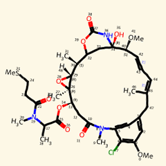 COc1cc2cc(c1Cl)N(C)C(=O)C[C@@H](OC(=O)C(C)N(C)C(=O)CCSC)[C@@]1(C)O[C@@H]1[C@@H](C)C1C[C@](O)(NC(=O)O1)[C@@H](OC)/C=C/C=C(\C)C2